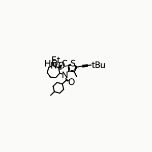 CCN1CCCCC(N(C(=O)C2CCC(C)CC2)c2c(C(=O)O)sc(C#CC(C)(C)C)c2C)C1=O